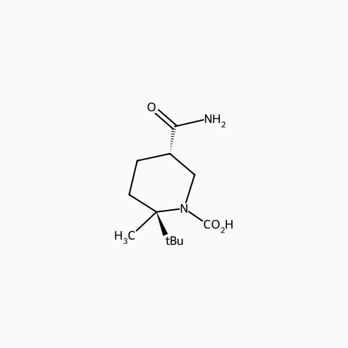 CC(C)(C)[C@@]1(C)CC[C@H](C(N)=O)CN1C(=O)O